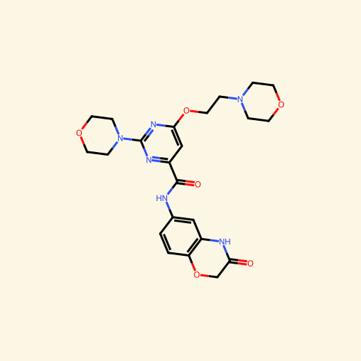 O=C1COc2ccc(NC(=O)c3cc(OCCN4CCOCC4)nc(N4CCOCC4)n3)cc2N1